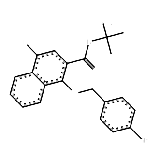 CC(C)c1ccc(COc2c(C(=O)NC(C)(C)C(=O)O)cc(F)c3ccccc23)cc1